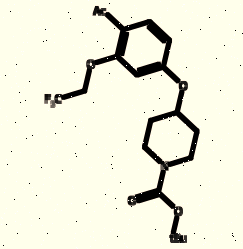 CC(=O)c1ccc(OC2CCN(C(=O)OC(C)(C)C)CC2)cc1OCC(F)(F)F